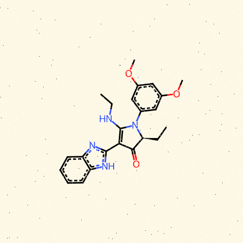 CCNC1=C(c2nc3ccccc3[nH]2)C(=O)[C@H](CC)N1c1cc(OC)cc(OC)c1